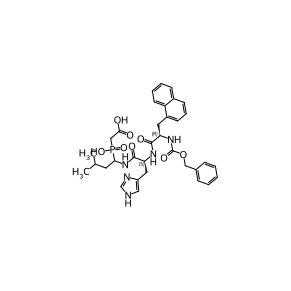 CC(C)CC(NC(=O)[C@H](Cc1c[nH]cn1)NC(=O)[C@@H](Cc1cccc2ccccc12)NC(=O)OCc1ccccc1)P(=O)(O)CC(=O)O